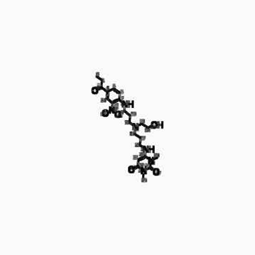 CCC(=O)c1ccc(NCCCN(CCO)CCCNc2cc(=O)n(C)c(=O)n2C)c([N+](=O)[O-])c1